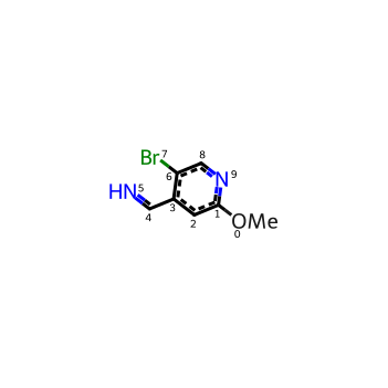 COc1cc(C=N)c(Br)cn1